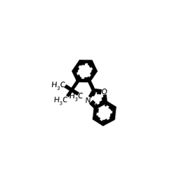 CC(C)(C)c1ccccc1-c1nc2ccccc2o1